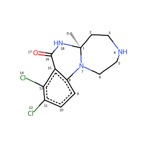 C[C@]12CCNCCN1c1ccc(Cl)c(Cl)c1C(=O)N2